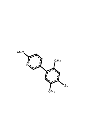 COc1ccc(-c2cc(OC)c(C(C)(C)C)cc2OC)cn1